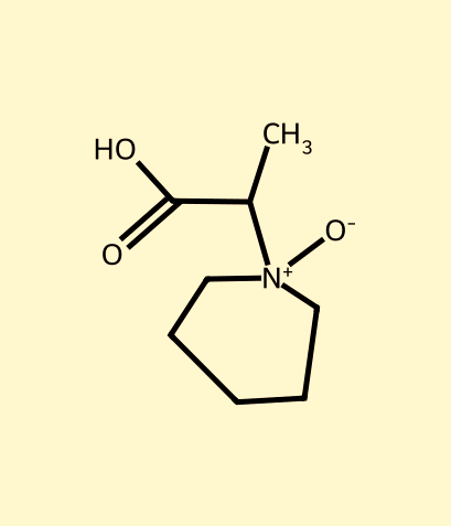 CC(C(=O)O)[N+]1([O-])CCCCC1